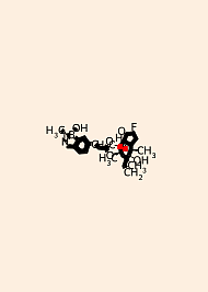 C=C[C@]1(C)C[C@@H](OC(=O)COc2ccc3c(c2)B(O)N(C)N=C3)[C@]2(C)[C@H](C)CC[C@]3(C[C@H](F)C(=O)[C@H]32)[C@@H](C)[C@@H]1O